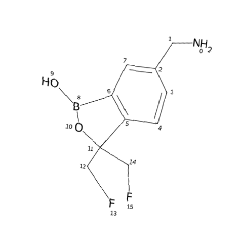 NCc1ccc2c(c1)B(O)OC2(CF)CF